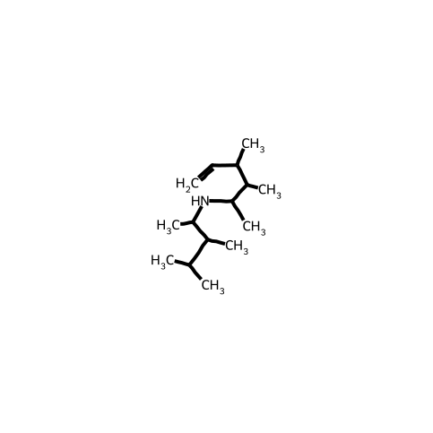 C=CC(C)C(C)C(C)NC(C)C(C)C(C)C